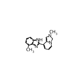 Cc1cccc2[nH]c(C3=CC=CN4CN(C)C=C34)nc12